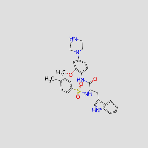 COc1cc(N2CCNCC2)ccc1NC(=O)C(Cc1c[nH]c2ccccc12)NS(=O)(=O)c1ccc(C)cc1